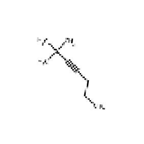 CS(C)(C)C#CCCC=O